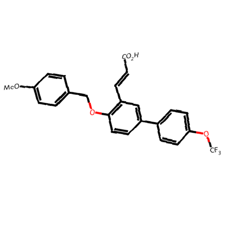 COc1ccc(COc2ccc(-c3ccc(OC(F)(F)F)cc3)cc2C=CC(=O)O)cc1